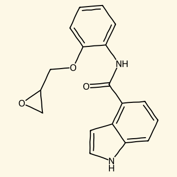 O=C(Nc1ccccc1OCC1CO1)c1cccc2[nH]ccc12